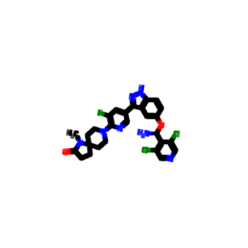 CN1C(=O)CCC12CCN(c1ncc(-c3n[nH]c4ccc(O[C@H](N)c5c(Cl)cncc5Cl)cc34)cc1F)CC2